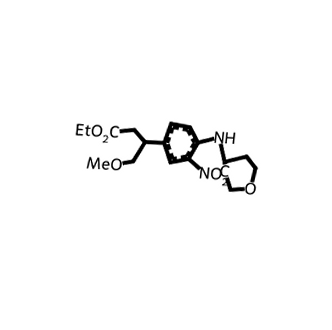 CCOC(=O)CC(COC)c1ccc(NC2CCOCC2)c([N+](=O)[O-])c1